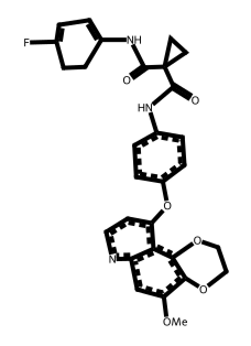 COc1cc2nccc(Oc3ccc(NC(=O)C4(C(=O)NC5=CC=C(F)CC5)CC4)cc3)c2c2c1OCCO2